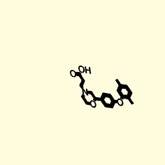 Cc1ccc(C)c(Oc2ccc(C3CN(CCC(=O)O)CCO3)cc2)c1